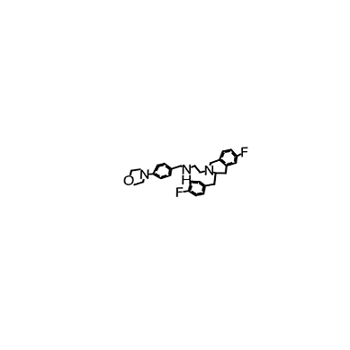 Fc1ccc(CC2Cc3cc(F)ccc3CN2CCNCc2ccc(N3CCOCC3)cc2)cc1